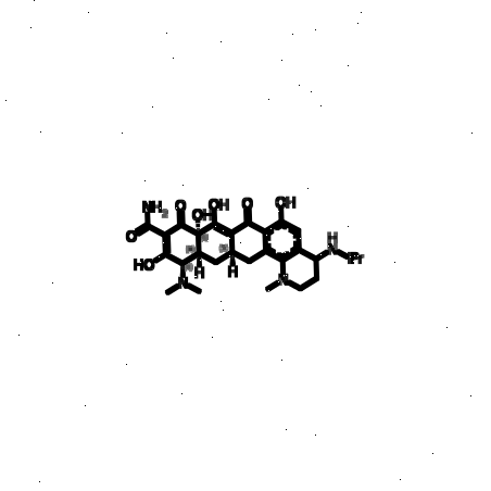 CC(C)NC1CCN(C)c2c1cc(O)c1c2C[C@@H]2C[C@@H]3[C@@H](N(C)C)C(O)=C(C(N)=O)C(=O)[C@@]3(O)C(O)=C2C1=O